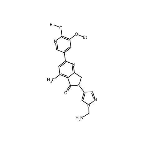 CCOc1cc(-c2cc(C)c3c(n2)CN(c2cnn(CN)c2)C3=O)cnc1OCC